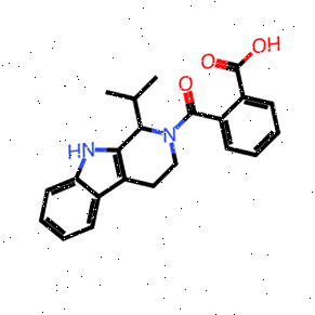 CC(C)C1c2[nH]c3ccccc3c2CCN1C(=O)c1ccccc1C(=O)O